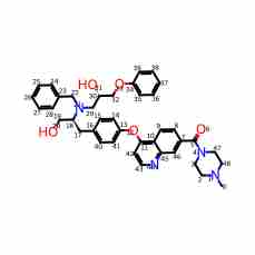 CN1CCN(C(=O)c2ccc3c(Oc4ccc(C[C@@H](CO)N(Cc5ccccc5)C[C@H](O)COc5ccccc5)cc4)ccnc3c2)CC1